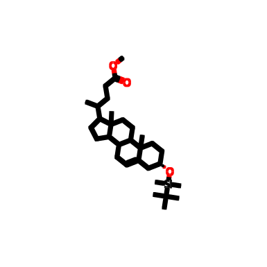 COC(=O)CCC(C)C1CCC2C3CC=C4C[C@@H](O[Si](C)(C)C(C)(C)C)CCC4(C)C3CCC12C